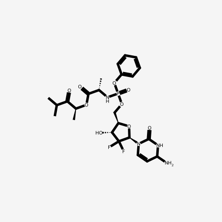 CC(C)C(=O)[C@H](C)OC(=O)[C@H](C)NP(=O)(OC[C@H]1O[C@@H](N2C=CC(N)NC2=O)C(F)(F)[C@@H]1O)Oc1ccccc1